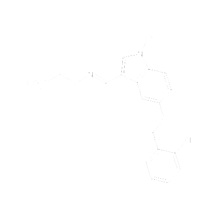 CCn1cc(C=NOCC(=O)O)c2cc(OCc3ccccc3Cl)ccc21